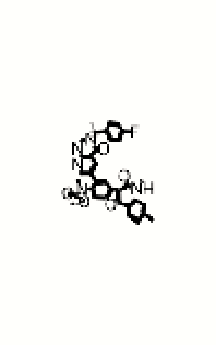 CNC(=O)c1c(-c2ccc(C)cc2)oc2cc(N(C)S(C)(=O)=O)c(-c3cnc4ncn([C@H](C)c5ccc(F)cc5)c(=O)c4c3)cc12